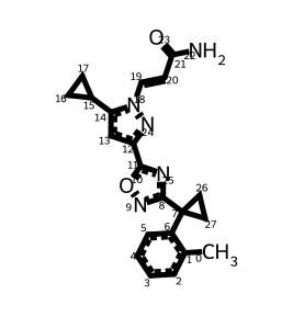 Cc1ccccc1C1(c2noc(-c3cc(C4CC4)n(C=CC(N)=O)n3)n2)CC1